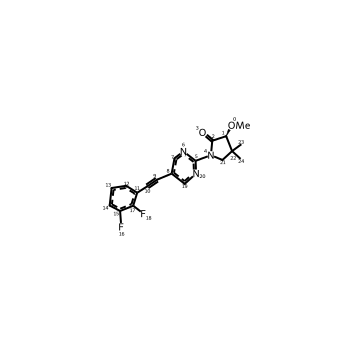 CO[C@@H]1C(=O)N(c2ncc(C#Cc3cccc(F)c3F)cn2)CC1(C)C